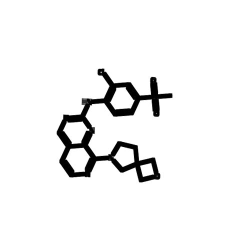 CS(=O)(=O)c1ccc(Nc2ncc3ccnc(N4CCC5(COC5)C4)c3n2)c(Cl)c1